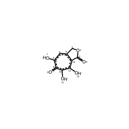 O=C1OCc2cc(O)c(=O)c(O)c(O)c21